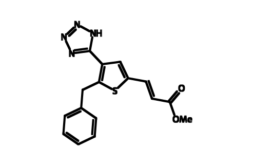 COC(=O)C=Cc1cc(-c2nnn[nH]2)c(Cc2ccccc2)s1